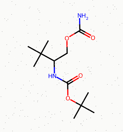 CC(C)(C)OC(=O)NC(COC(N)=O)C(C)(C)C